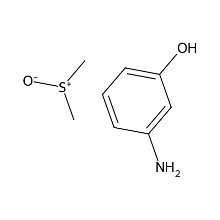 C[S+](C)[O-].Nc1cccc(O)c1